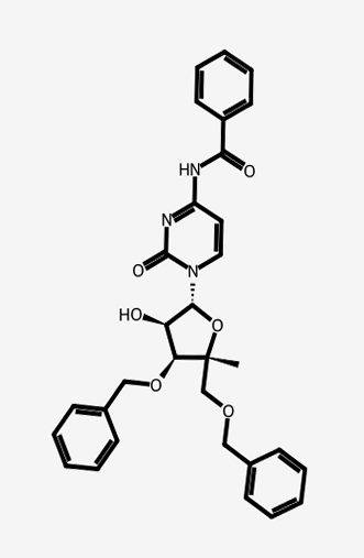 C[C@]1(COCc2ccccc2)O[C@@H](n2ccc(NC(=O)c3ccccc3)nc2=O)[C@H](O)[C@@H]1OCc1ccccc1